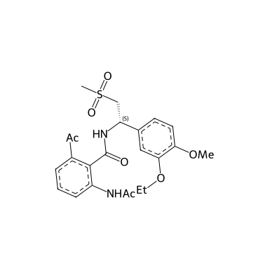 CCOc1cc([C@@H](CS(C)(=O)=O)NC(=O)c2c(NC(C)=O)cccc2C(C)=O)ccc1OC